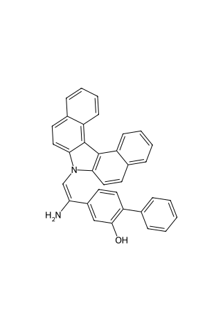 N/C(=C/n1c2ccc3ccccc3c2c2c3ccccc3ccc21)c1ccc(-c2ccccc2)c(O)c1